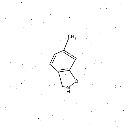 Cc1ccc2c(c1)ONC2